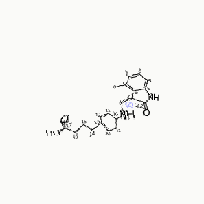 Cc1cccc2c1/C(=C/Nc1ccc(CCCC(=O)O)cc1)C(=O)N2